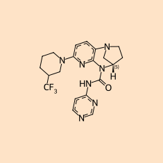 O=C(Nc1ccncn1)N1c2nc(N3CCCC(C(F)(F)F)C3)ccc2N2CC[C@H]1C2